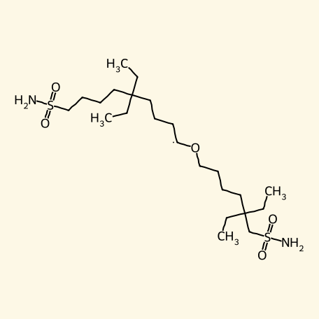 CCC(CC)(CCC[CH]OCCCCC(CC)(CC)CS(N)(=O)=O)CCCCS(N)(=O)=O